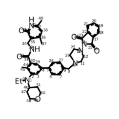 CCN(c1cc(-c2ccc(CN3CCN(N4C(=O)c5ccccc5C4=O)CC3)cc2)cc(C(=O)NCc2c(C)cc(C)[nH]c2=O)c1C)C1CCOCC1